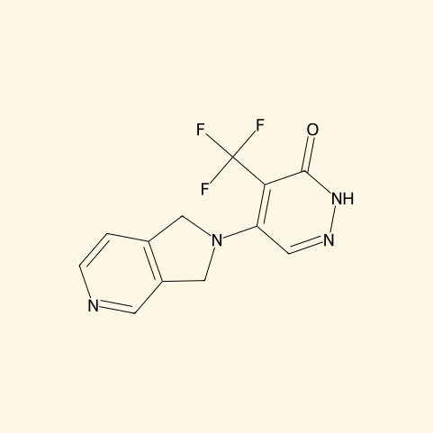 O=c1[nH]ncc(N2Cc3ccncc3C2)c1C(F)(F)F